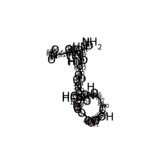 CO[C@H]1/C=C/O[C@@]2(C)Oc3c(C)c(O)c4c(=O)c(c5oc6cc(N7CC(OC(=O)OCc8ccc(NC(=O)[C@H](CCCNC(N)=O)NC(=O)C(NC(=O)CCCCCN9C(=O)C=CC9=O)C(C)C)cc8)C7)cc(O)c6nc-5c4c3C2=O)NC(=O)/C(C)=C\C=C\[C@H](C)C[C@@H](C)[C@@H](O)[C@@H](C)[C@H](OC(C)=O)[C@@H]1C